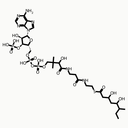 CCC(C)C(O)CC(O)CC(=O)SCCNC(=O)CCNC(=O)C(O)C(C)(C)COP(=O)(O)OP(=O)(O)OC[C@H]1O[C@@H](n2cnc3c(N)ncnc32)[C@H](O)[C@@H]1OP(=O)(O)O